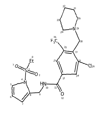 CCS(=O)(=O)n1cccc1CNC(=O)c1cc(Cl)c(CN2CCCCC2)c(C(F)(F)F)c1